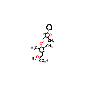 CCOC(=Cc1cc(C)c(OCCc2nc(-c3ccccc3)oc2C)c(C)c1)C(=O)O